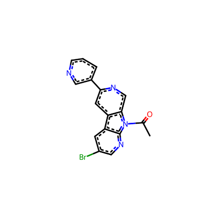 CC(=O)n1c2cnc(-c3cccnc3)cc2c2cc(Br)cnc21